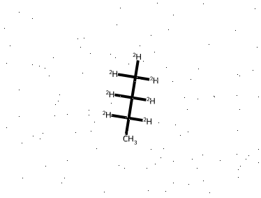 [2H]C([2H])([2H])C([2H])([2H])C([2H])([2H])C